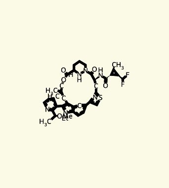 CCn1c(-c2cccnc2[C@H](C)OC)c2c3cc(ccc31)-c1csc(n1)C[C@H](NC(=O)[C@@H]1[C@@H](C)[C@H]1C(F)F)C(=O)N1CCC[C@H](N1)C(=O)OCC(C)(C)C2